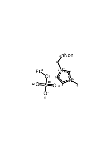 CCCCCCCCCC[n+]1ccn(C)c1.CCOS(=O)(=O)[O-]